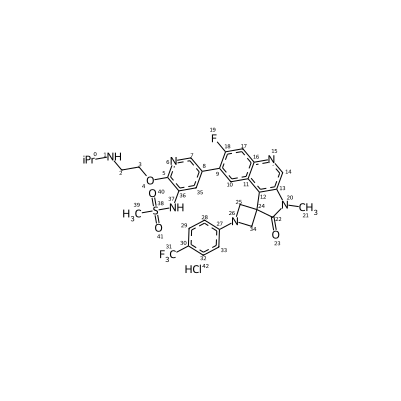 CC(C)NCCOc1ncc(-c2cc3c4c(cnc3cc2F)N(C)C(=O)C42CN(c3ccc(C(F)(F)F)cc3)C2)cc1NS(C)(=O)=O.Cl